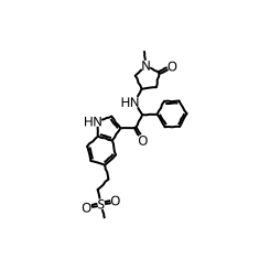 CN1CC(NC(C(=O)c2c[nH]c3ccc(CCS(C)(=O)=O)cc23)c2ccccc2)CC1=O